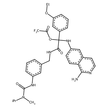 CCOc1cccc(C(Nc2ccc3c(N)nccc3c2)(OC(=O)C(F)(F)F)C(=O)NCc2cccc(NC(=O)N(C)C(C)C)c2)c1